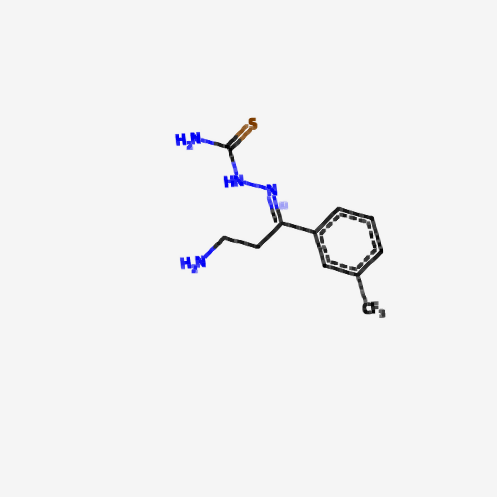 NCC/C(=N\NC(N)=S)c1cccc(C(F)(F)F)c1